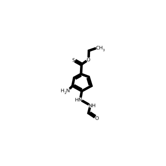 CCOC(=S)c1ccc(NNC=O)c(N)c1